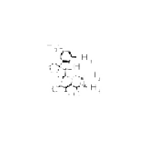 Cc1cc(C)cc(C2(C(O)c3nc(=O)c(O)c4n3C[C@H](C)N(C)C4=O)CCCC2)c1